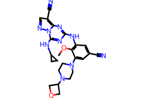 COc1c(Nc2nc(NC3CC3)n3ncc(C#N)c3n2)cc(C#N)cc1N1CCN(C2COC2)CC1